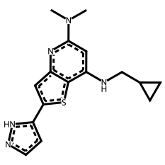 CN(C)c1cc(NCC2CC2)c2sc(-c3ccn[nH]3)cc2n1